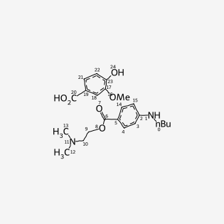 CCCCNc1ccc(C(=O)OCCN(C)C)cc1.COc1cc(C(=O)O)ccc1O